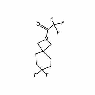 O=C(N1CC2(CCC(F)(F)CC2)C1)C(F)(F)F